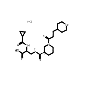 Cl.O=C(NC(CNC(=O)[C@@H]1CCCN(C(=O)CCC2CCNCC2)C1)C(=O)O)C1CC1